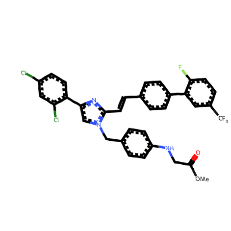 COC(=O)CNc1ccc(Cn2cc(-c3ccc(Cl)cc3Cl)nc2/C=C/c2ccc(-c3cc(C(F)(F)F)ccc3F)cc2)cc1